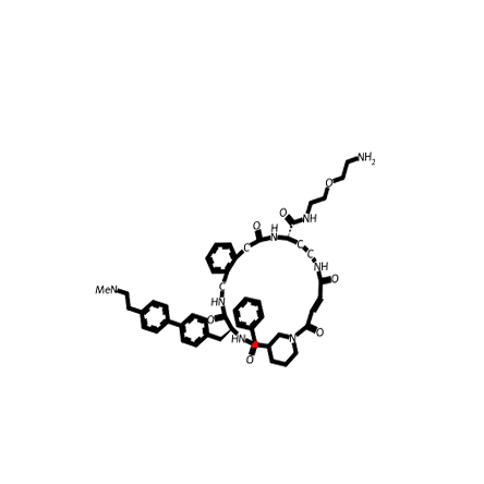 CNCCc1ccc(-c2ccc(C[C@@H]3NC(=O)[C@]4(Cc5ccccc5)CCCN(C4)C(=O)/C=C/C(=O)NCC[C@@H](C(=O)NCCOCCN)NC(=O)Cc4ccccc4CNC3=O)cc2)cc1